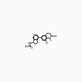 CCC(=O)NC1CCc2c(-c3cc(Cl)c4c(c3)CCC(O)N4C)cncc21